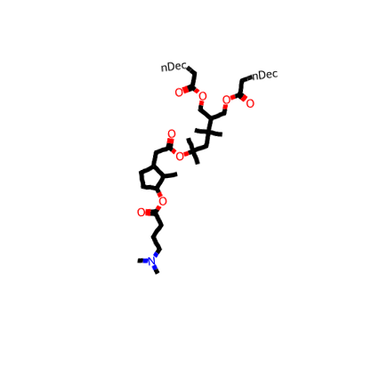 CCCCCCCCCCCC(=O)OCC(COC(=O)CCCCCCCCCCC)C(C)(C)CC(C)(C)OC(=O)CC1CCC(OC(=O)CCCN(C)C)C1C